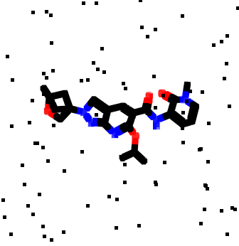 CC(C)Oc1nc2nn(C34COC(C)(C3)C4)cc2cc1C(=O)Nc1cccn(C)c1=O